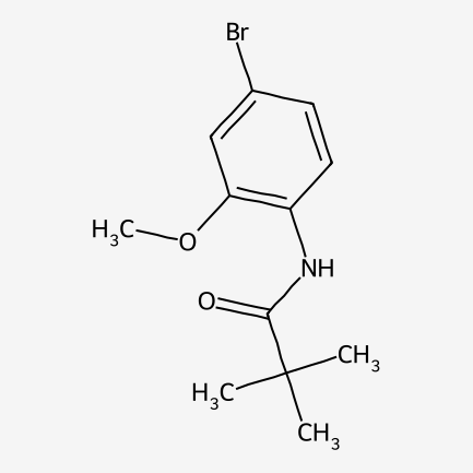 COc1cc(Br)ccc1NC(=O)C(C)(C)C